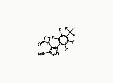 N#Cc1cnn(-c2c(F)c(F)c(C(F)(F)F)c(F)c2F)c1N1CCC1=O